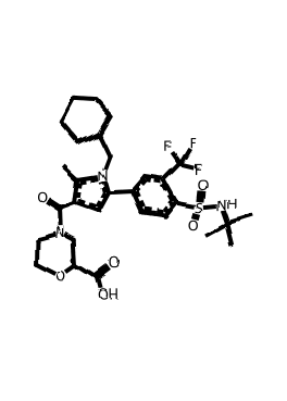 Cc1c(C(=O)N2CCOC(C(=O)O)C2)cc(-c2ccc(S(=O)(=O)NC(C)(C)C)c(C(F)(F)F)c2)n1CC1CCCCC1